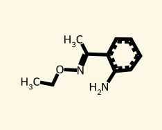 CCON=C(C)c1ccccc1N